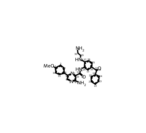 COc1ccc(-c2cnc(N)c(C(=O)Nc3cc(C(=O)c4ccccc4)ccc3NCCN)n2)cc1